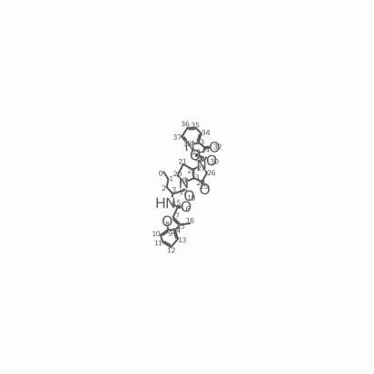 CCCC(NC(=O)c1oc2ccccc2c1C)C(=O)N1CCC2C1C(=O)CN2S(=O)(=O)C(=O)c1ccccn1